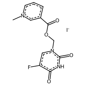 C[n+]1cccc(C(=O)OCn2cc(F)c(=O)[nH]c2=O)c1.[I-]